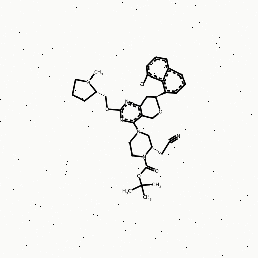 CN1CCC[C@H]1COc1nc2c(c(N3CCN(C(=O)OC(C)(C)C)[C@@H](CC#N)C3)n1)CO[C@H](c1cccc3cccc(Cl)c13)C2